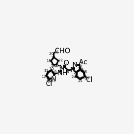 CC(=O)c1nn(CC(=O)N(Nc2cccc(Cl)n2)[C@H]2CCC(CC=O)C2)c2ccc(Cl)cc12